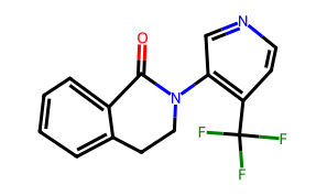 O=C1c2ccccc2CCN1c1cnccc1C(F)(F)F